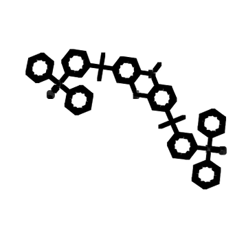 CN1c2ccc(C(C)(C)c3cccc(P(=O)(c4ccccc4)c4ccccc4)c3)cc2Sc2cc(C(C)(C)c3cccc(P(=O)(c4ccccc4)c4ccccc4)c3)ccc21